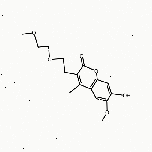 COCCOCCc1c(C)c2cc(OC)c(O)cc2oc1=O